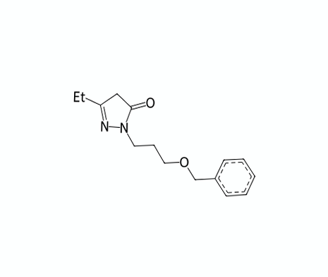 CCC1=NN(CCCOCc2ccccc2)C(=O)C1